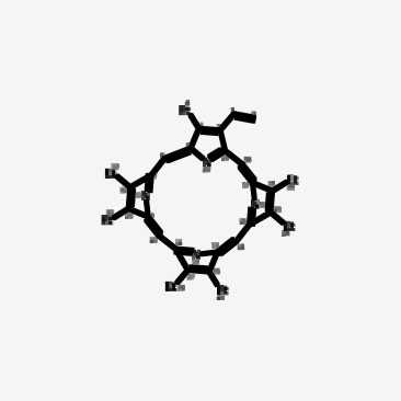 C=CC1=C(CC)C2=CC3=NC(=CC4=NC(=CC5=NC(=CC1=N2)C(CC)=C5CC)C(CC)=C4CC)C(CC)=C3CC